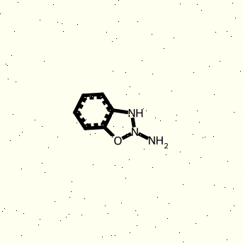 NN1Nc2ccccc2O1